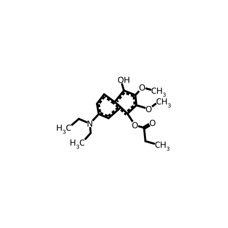 CCC(=O)Oc1c(OC)c(OC)c(O)c2ccc(N(CC)CC)cc12